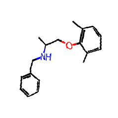 Cc1cccc(C)c1OCC(C)NCc1ccccc1